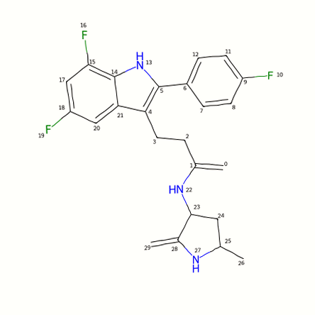 C=C(CCc1c(-c2ccc(F)cc2)[nH]c2c(F)cc(F)cc12)NC1CC(C)NC1=C